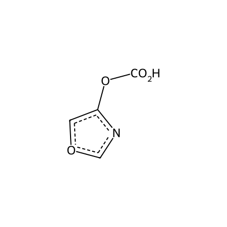 O=C(O)Oc1cocn1